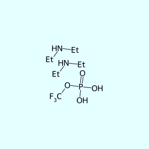 CCNCC.CCNCC.O=P(O)(O)OC(F)(F)F